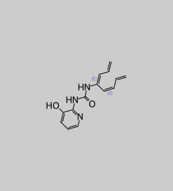 C=C/C=C\C(=C/C=C)NC(=O)Nc1ncccc1O